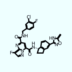 C=C1NC(c2ccc3c(c2)CC[C@@H]3NC(=O)c2cc(C(=O)NCc3ccc(F)c(Cl)c3)nc3c(F)cnn23)=NO1